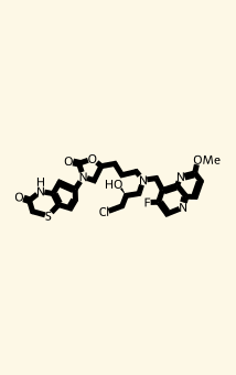 COc1ccc2ncc(F)c(CN(CCCC3CN(c4ccc5c(c4)NC(=O)CS5)C(=O)O3)C[C@@H](O)CCl)c2n1